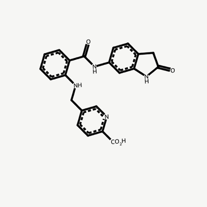 O=C1Cc2ccc(NC(=O)c3ccccc3NCc3ccc(C(=O)O)nc3)cc2N1